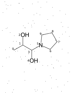 CC(O)C(O)N1CCCC1